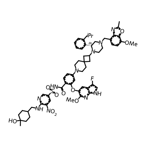 COc1nc2[nH]cc(F)c2cc1Oc1cc(N2CCC3(CC2)CC(N2CCN(Cc4ccc(OC)c5oc(C)nc45)C[C@H]2c2ccccc2C(C)C)C3)ccc1C(=O)NS(=O)(=O)c1cnc(NCC2CCC(C)(O)CC2)c([N+](=O)[O-])c1